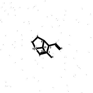 C=CC1C(C)=CN2CCC1C2C